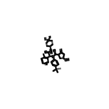 Cc1ccncc1C(C(=O)NC1CCC(F)(F)CC1)N(C(=O)C1CC(O)CN1)c1ccc(C(C)(C)C)cc1